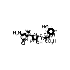 Nc1nc(Cl)nc2c1ncn2[C@@H]1O[C@H](COC(Cc2cccc(O)c2)(C(=O)O)C(=O)O)[C@@H](O)[C@@H]1F